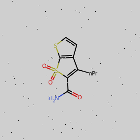 CCCC1=C(C(N)=O)S(=O)(=O)c2sccc21